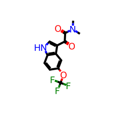 CN(C)C(=O)C(=O)c1c[nH]c2ccc(OC(F)(F)F)cc12